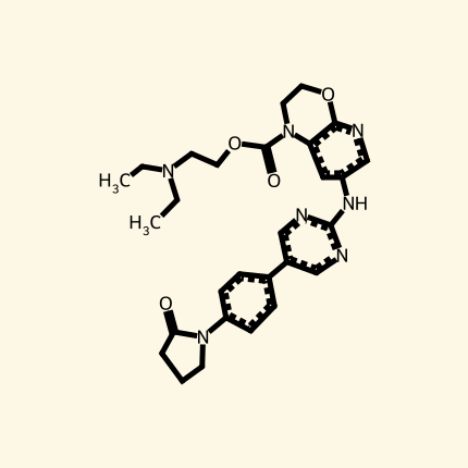 CCN(CC)CCOC(=O)N1CCOc2ncc(Nc3ncc(-c4ccc(N5CCCC5=O)cc4)cn3)cc21